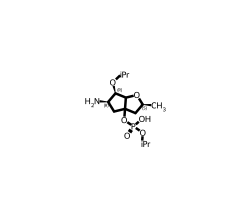 CC(C)O[C@H]1C2O[C@@H](C)CC2(OP(=O)(O)OC(C)C)C[C@H]1N